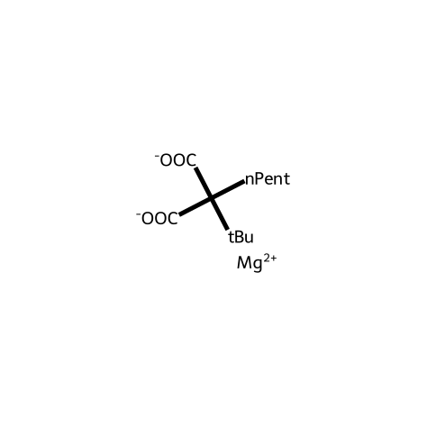 CCCCCC(C(=O)[O-])(C(=O)[O-])C(C)(C)C.[Mg+2]